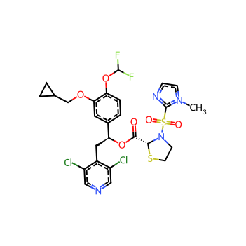 Cn1ccnc1S(=O)(=O)N1CCS[C@@H]1C(=O)O[C@@H](Cc1c(Cl)cncc1Cl)c1ccc(OC(F)F)c(OCC2CC2)c1